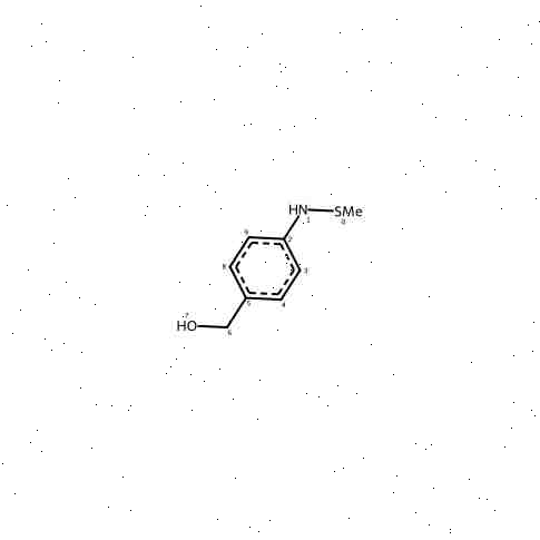 CSNc1ccc(CO)cc1